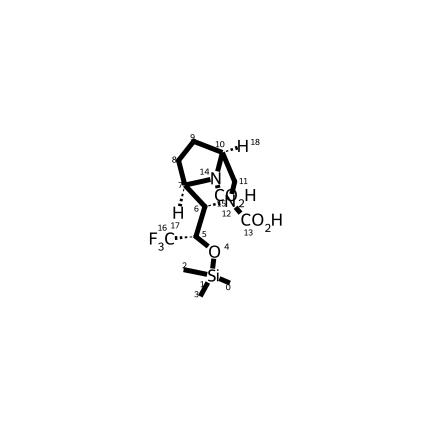 C[Si](C)(C)O[C@@H]([C@@H]1[C@H]2CC[C@@H](CN1C(=O)O)N2C(=O)O)C(F)(F)F